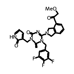 C=C1N(Cc2ccc[nH]c2=O)C(=O)N=C(N2Cc3cccc(C(=O)COC)c3C2)N1Cc1cc(F)c(F)c(F)c1